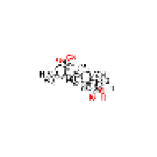 CC1(C)CC[C@]2(C(=O)O)CC[C@]3(C)C(CC[C@@H]4[C@@]5(C)C[C@H](O)[C@H](O)C(C)(C)[C@@H]5CC[C@]43C)[C@@H]2C1